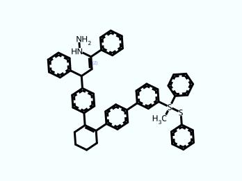 CS(Sc1ccccc1)(c1ccccc1)c1cccc(-c2ccc(C3=C(c4ccc(C(/C=C(\NN)c5ccccc5)c5ccccc5)cc4)CCCC3)cc2)c1